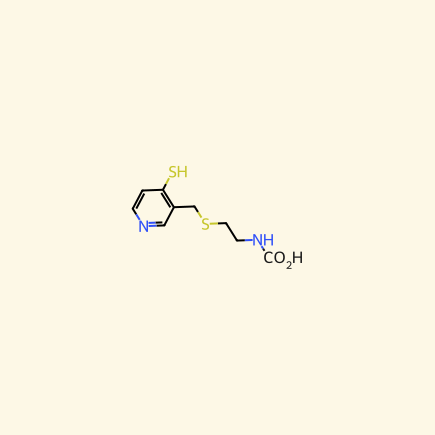 O=C(O)NCCSCc1cnccc1S